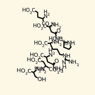 N=C(N)NCCCC(N)C(=O)O.NC(=O)CC(N)C(=O)O.NC(=O)CC(N)C(=O)O.NC(CC(=O)O)C(=O)O.NC(CCC(=O)O)C(=O)O.NC(CO)C(=O)O.O=C(O)[C@@H]1CCCN1